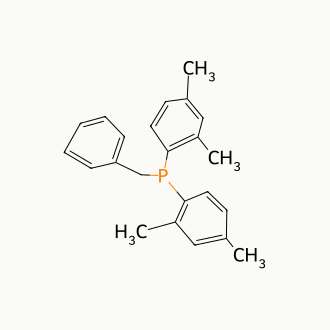 Cc1ccc(P(Cc2ccccc2)c2ccc(C)cc2C)c(C)c1